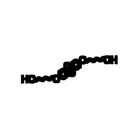 O=S(=O)(c1ccc(OCCCCCCO)cc1)c1ccc(OCCCCCCO)cc1